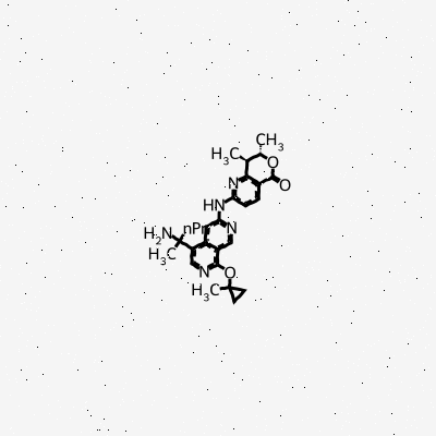 CCCC(C)(N)c1cnc(OC2(C)CC2)c2cnc(Nc3ccc4c(n3)[C@@H](C)[C@H](C)OC4=O)cc12